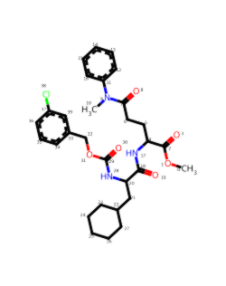 COC(=O)C(CCC(=O)N(C)c1ccccc1)NC(=O)C(CC1CCCCC1)NC(=O)OCc1cccc(Cl)c1